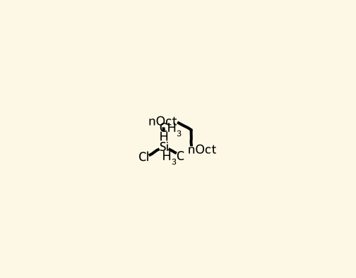 CCCCCCCCCCCCCCCCC.C[SiH](C)Cl